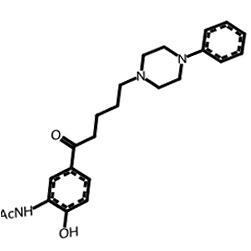 CC(=O)Nc1cc(C(=O)CCCCN2CCN(c3ccccc3)CC2)ccc1O